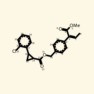 CC=C(C(=O)OC)c1ccc(COC(=O)C2CC2c2ccccc2Cl)cc1